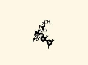 COCC(F)C(=O)N1CC2(CC2)[C@H](NS(=O)(=O)CF)[C@@H]1Cc1cccc(-c2cc(F)cc(F)c2)c1F